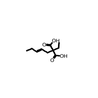 CCC=CCC(CC)(C(=O)O)C(=O)O